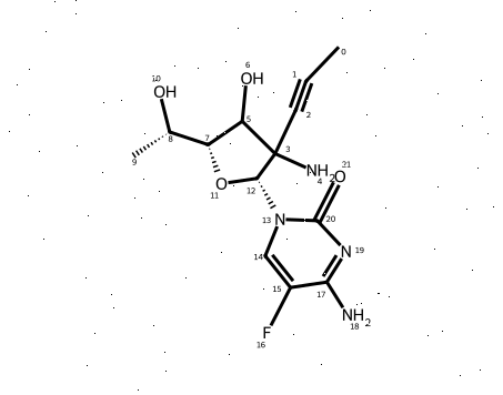 CC#CC1(N)C(O)[C@@H]([C@H](C)O)O[C@H]1n1cc(F)c(N)nc1=O